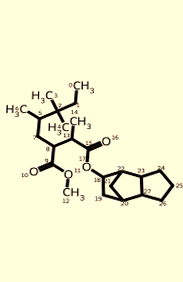 CCC(C)(C)C(C)CC(C(=O)OC)C(C)C(=O)OC1CC2CC1C1CCCC21